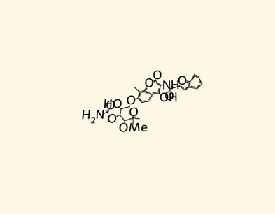 CO[C@@H]1[C@@H](OC(N)=O)[C@@H](O)[C@H](Oc2ccc3c(O)c(NC(=O)c4cc5ccccc5o4)c(=O)oc3c2C)OC1(C)C